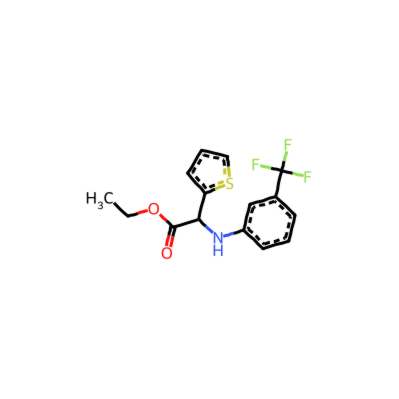 CCOC(=O)C(Nc1cccc(C(F)(F)F)c1)c1cccs1